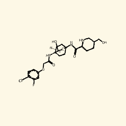 O=C(COc1ccc(Cl)c(F)c1)NC12CCC(NC(=O)C3CCC(CO)CN3)(CC1)C[C@@H]2O